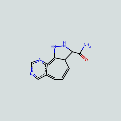 NC(=O)C1NNC2=c3ncncc3=CC=CC21